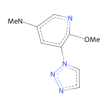 CNc1cnc(OC)c(-n2ccnn2)c1